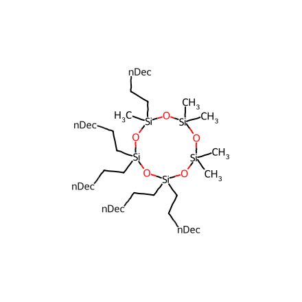 CCCCCCCCCCCC[Si]1(C)O[Si](C)(C)O[Si](C)(C)O[Si](CCCCCCCCCCCC)(CCCCCCCCCCCC)O[Si](CCCCCCCCCCCC)(CCCCCCCCCCCC)O1